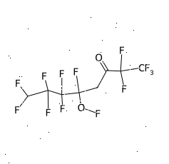 O=C(CC(F)(OF)C(F)(F)C(F)(F)C(F)F)C(F)(F)C(F)(F)F